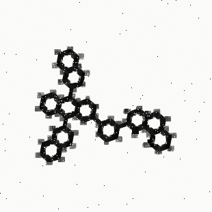 c1cc(-c2ccc3c(-c4ccc5ccccc5c4)c4ccccc4c(-c4ccc5ccccc5c4)c3c2)cc(-c2ccc3ccc4cccnc4c3n2)c1